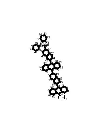 Cc1c2ccccc2c(-c2ccc3cc(-c4c5ccccc5c(-c5ccc6cc(-c7nc8ccccc8n7-c7ccccc7)ccc6c5)c5ccccc45)ccc3c2)c2ccccc12